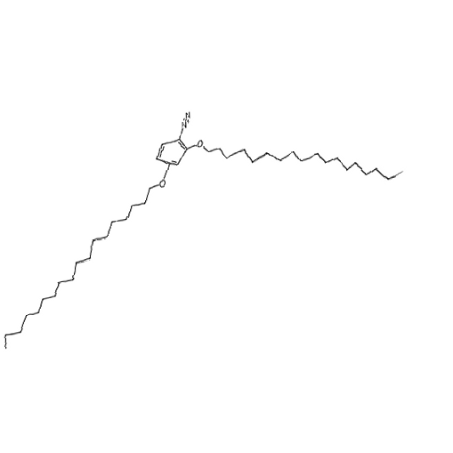 CCCCCCCCCCCCCCCCCCOc1ccc([N+]#N)c(OCCCCCCCCCCCCCCCCCC)c1